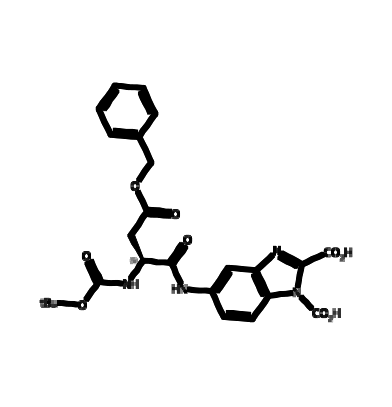 CC(C)(C)OC(=O)N[C@@H](CC(=O)OCc1ccccc1)C(=O)Nc1ccc2c(c1)nc(C(=O)O)n2C(=O)O